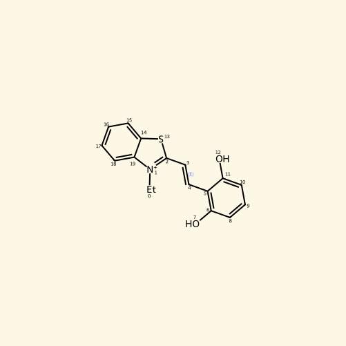 CC[n+]1c(/C=C/c2c(O)cccc2O)sc2ccccc21